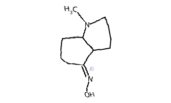 CN1CCCC2/C(=N/O)CCCC21